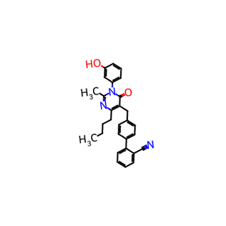 CCCCc1nc(C)n(-c2cccc(O)c2)c(=O)c1Cc1ccc(-c2ccccc2C#N)cc1